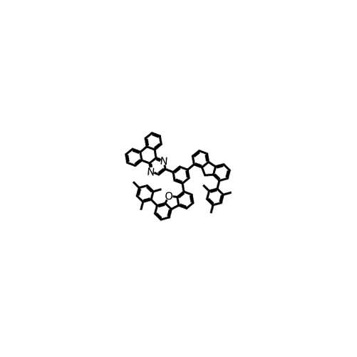 Cc1cc(C)c(-c2cccc3c2Cc2c(-c4cc(-c5cnc6c7ccccc7c7ccccc7c6n5)cc(-c5cccc6c5oc5c(-c7c(C)cc(C)cc7C)cccc56)c4)cccc2-3)c(C)c1